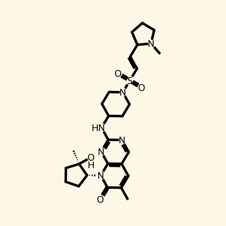 Cc1cc2cnc(NC3CCN(S(=O)(=O)/C=C/C4CCCN4C)CC3)nc2n([C@@H]2CCC[C@@]2(C)O)c1=O